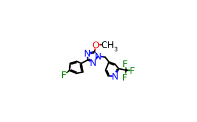 COc1nc(-c2ccc(F)cc2)nn1Cc1ccnc(C(F)(F)F)c1